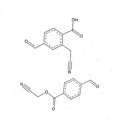 N#CCOC(=O)c1ccc(C=O)cc1.N#CCc1cc(C=O)ccc1C(=O)O